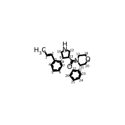 CC=Cc1ccccc1[C@@H]1CNC[C@H]1C(=O)N1CCOC[C@@H]1c1ccccc1